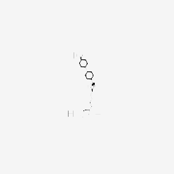 CCC(C)CCCCCOC(=O)c1ccc(-c2ccc(O)cc2)cc1